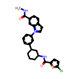 CNC(=O)c1ccc2ccn(-c3cccc(C4CCCC(NC(=O)c5ccc(Br)s5)C4)c3)c2c1